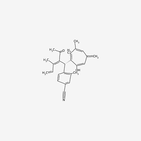 C=C/C(C)=C(/C(C)=O)[C@H](C1=C(C)C(C)=CC(=C)C=C1O)c1ccc(C#N)cc1C